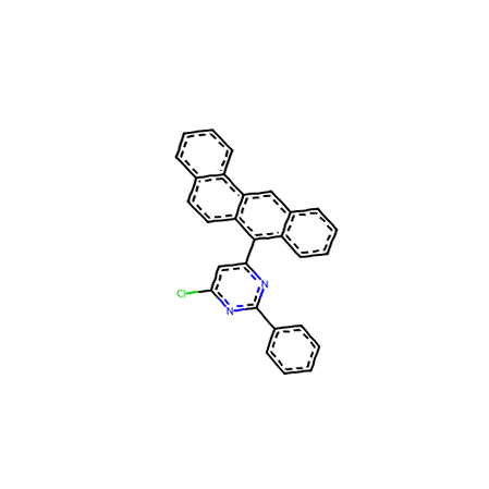 Clc1cc(-c2c3ccccc3cc3c2ccc2ccccc23)nc(-c2ccccc2)n1